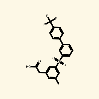 Cc1cc(CC(=O)O)cc(S(=O)(=O)c2cccc(-c3ccc(C(F)(F)F)cc3)c2)c1